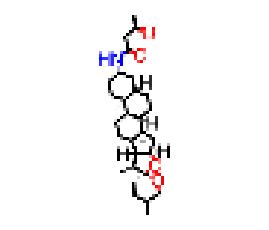 CC(=O)CC(=O)N[C@H]1CC[C@]2(C)C3CC[C@@]4(C)C(C[C@@H]5O[C@]6(CC[C@H](C)CO6)[C@@H](C)[C@@H]54)[C@@H]3CC[C@@H]2C1